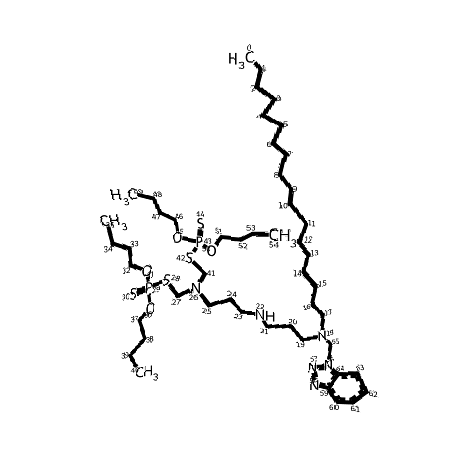 CCCCCCCCCCCCCCCCCCN(CCCNCCCN(CSP(=S)(OCCCC)OCCCC)CSP(=S)(OCCCC)OCCCC)Cn1nnc2ccccc21